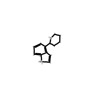 c1cc(C2CCCC[N]2)c2cc[nH]c2c1